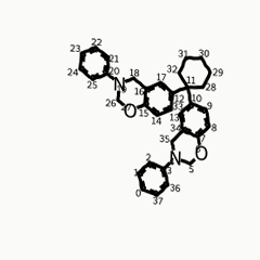 c1ccc(N2COc3ccc(C4(c5ccc6c(c5)CN(c5ccccc5)CO6)CCCCC4)cc3C2)cc1